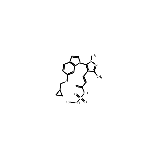 CCCCNS(=O)(=O)NC(=O)/C=C/c1c(C)nn(C)c1-n1ccc2ccc(OCC3CC3)cc21